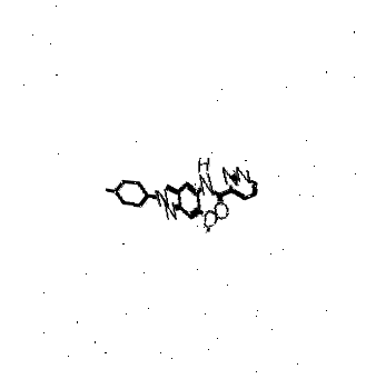 COc1cc2nn(C3CCC(C)CC3)cc2cc1NC(=O)c1cccnn1